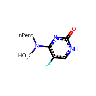 CCCCCN(C(=O)O)c1nc(=O)[nH]cc1F